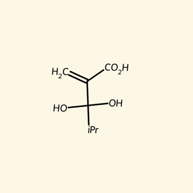 C=C(C(=O)O)C(O)(O)C(C)C